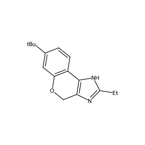 CCc1nc2c([nH]1)-c1ccc(C(C)(C)C)cc1OC2